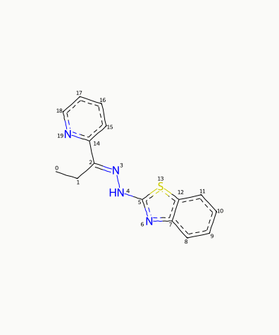 CC/C(=N\Nc1nc2ccccc2s1)c1ccccn1